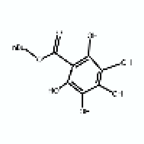 CCCCOC(=O)c1c(O)c(O)c(O)c(O)c1O